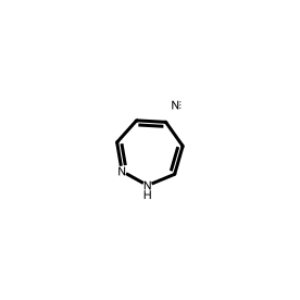 C1=CC=NNC=C1.[N]